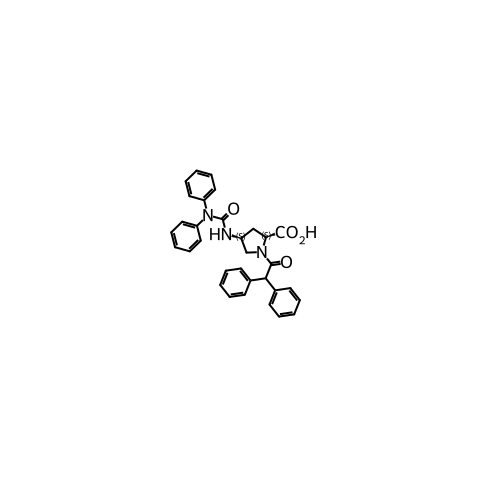 O=C(O)[C@@H]1C[C@H](NC(=O)N(c2ccccc2)c2ccccc2)CN1C(=O)C(c1ccccc1)c1ccccc1